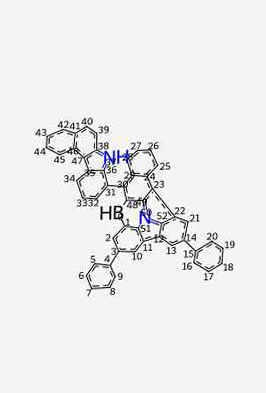 B1c2cc(-c3ccccc3)cc3c4cc(-c5ccccc5)cc5c6c7ccccc7c(-c7cccc8c7[nH]c7ccc9ccccc9c78)c1c6n(c23)c45